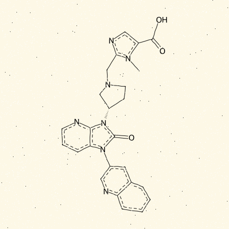 Cn1c(C(=O)O)cnc1CN1CC[C@H](n2c(=O)n(-c3cnc4ccccc4c3)c3cccnc32)C1